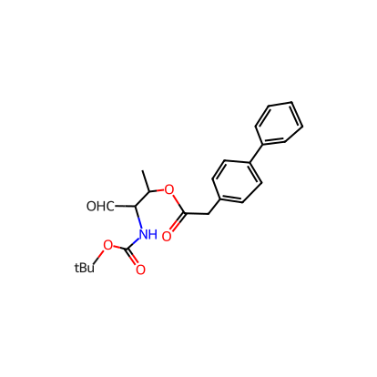 CC(OC(=O)Cc1ccc(-c2ccccc2)cc1)C(C=O)NC(=O)OC(C)(C)C